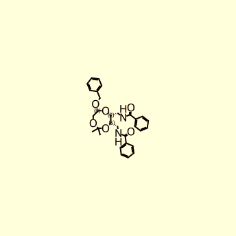 CC1(C)OC[C@H](OCc2ccccc2)O[C@H](CNC(=O)c2ccccc2)[C@H](CNC(=O)c2ccccc2)O1